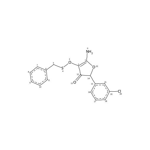 NC1=C(OSCc2ccccc2)C(=O)C(c2cccc(Cl)c2)O1